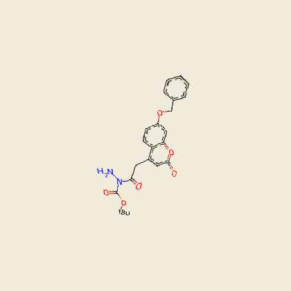 CC(C)(C)OC(=O)N(N)C(=O)Cc1cc(=O)oc2cc(OCc3ccccc3)ccc12